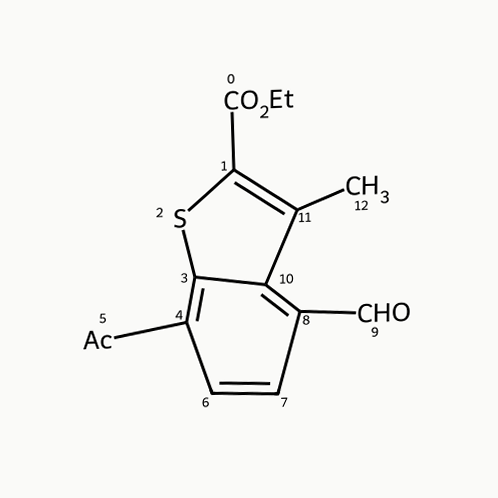 CCOC(=O)c1sc2c(C(C)=O)ccc(C=O)c2c1C